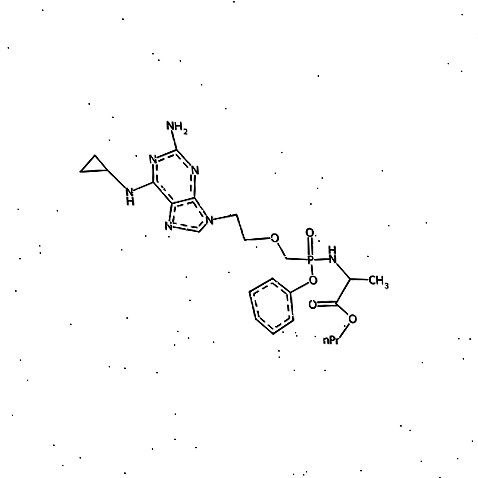 CCCOC(=O)C(C)NP(=O)(COCCn1cnc2c(NC3CC3)nc(N)nc21)Oc1ccccc1